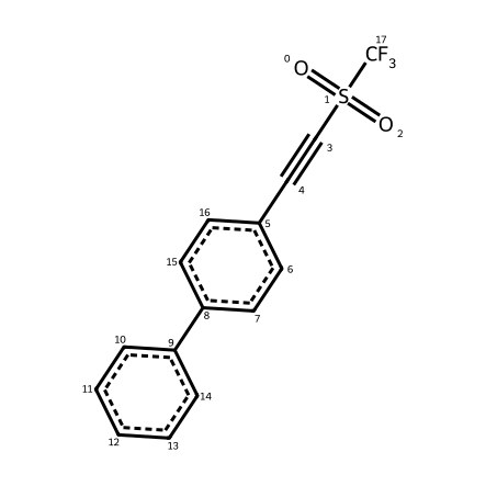 O=S(=O)(C#Cc1ccc(-c2ccccc2)cc1)C(F)(F)F